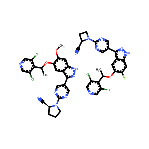 CC(Oc1cc2c(-c3cnc(N4CCC4C#N)nc3)n[nH]c2cc1F)c1c(Cl)cncc1Cl.COc1cc2[nH]nc(-c3cnc(N4CCC[C@H]4C#N)nc3)c2cc1OC(C)c1c(Cl)cncc1Cl